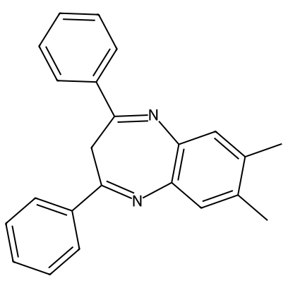 Cc1cc2c(cc1C)N=C(c1ccccc1)CC(c1ccccc1)=N2